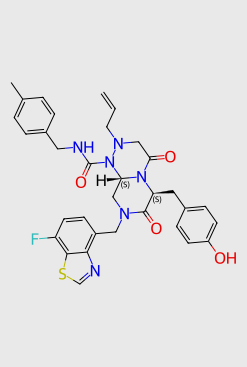 C=CCN1CC(=O)N2[C@@H](Cc3ccc(O)cc3)C(=O)N(Cc3ccc(F)c4scnc34)C[C@@H]2N1C(=O)NCc1ccc(C)cc1